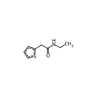 CCNC(=O)Cc1cccs1